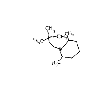 CC1CCCC(C)N1CC(C)(C)C